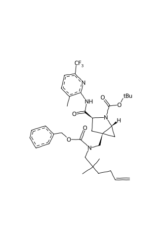 C=CCCC(C)(C)CN(C[C@@]12C[C@@H](C(=O)Nc3nc(C(F)(F)F)ccc3C)N(C(=O)OC(C)(C)C)[C@@H]1C2)C(=O)OCc1ccccc1